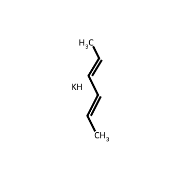 CC=CC=CC.[KH]